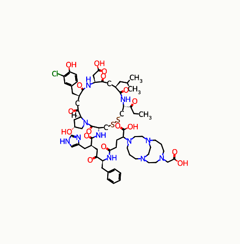 CCC(=O)[C@@H]1CSSC[C@H](NC(=O)[C@@H](CC(=O)[C@H](Cc2ccccc2)NC(=O)CCC(C(=O)O)N2CCCN3CCN(CCCN(CC(=O)O)CC3)CC2)Cc2c[nH]cn2)C(=O)N2C[C@H](O)C[C@H]2C(=O)C[C@@H](Cc2ccc(O)c(Cl)c2)C(=O)N[C@@H](CC(=O)O)C(=O)C[C@@H](CC(C)C)C(=O)N1